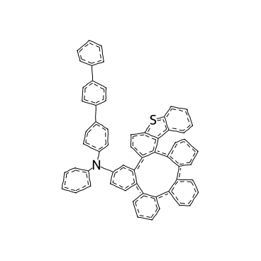 c1ccc(-c2ccc(-c3ccc(N(c4ccccc4)c4ccc5c6ccccc6c6ccccc6c6ccccc6c6c(ccc7sc8ccccc8c76)c5c4)cc3)cc2)cc1